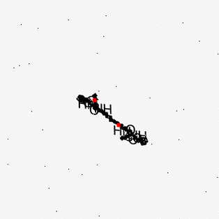 CCCCSC(NC(=O)OCc1ccccc1)C(=O)NCCCCCCCCCCCCCCNC(=O)C(NC(=O)OCc1ccccc1)SCCCC